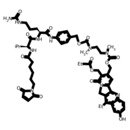 CCC(=O)OCc1c(COC(=O)N(C)CCN(C)C(=O)OCc2ccc(NC(=O)[C@H](CCCNC(N)=O)NC(=O)[C@@H](NC(=O)CCCCCN3C(=O)C=CC3=O)C(C)C)cc2)cc2n(c1=O)Cc1c-2nc2ccc(O)cc2c1CC